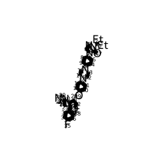 CCC(CC)n1ncn(-c2ccc(N3CCN(c4ccc(OC[C@@H]5CO[C@@](Cn6cncn6)(c6ccc(F)cc6F)C5)cc4)CC3)cc2)c1=O